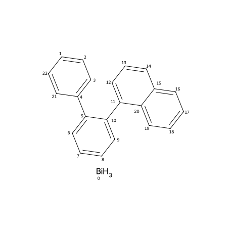 [BiH3].c1ccc(-c2ccccc2-c2cccc3ccccc23)cc1